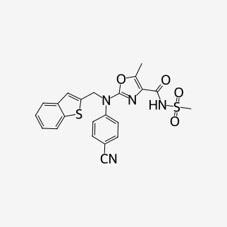 Cc1oc(N(Cc2cc3ccccc3s2)c2ccc(C#N)cc2)nc1C(=O)NS(C)(=O)=O